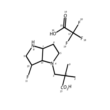 CC(C)(CN1CCC2NCC(F)C21)C(=O)O.O=C(O)C(F)(F)F